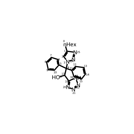 CCCCCCc1cn(C(c2ccccc2)(c2ccccc2)C(O)c2nnn[nH]2)nn1